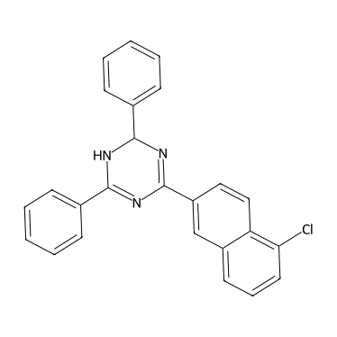 Clc1cccc2cc(C3=NC(c4ccccc4)NC(c4ccccc4)=N3)ccc12